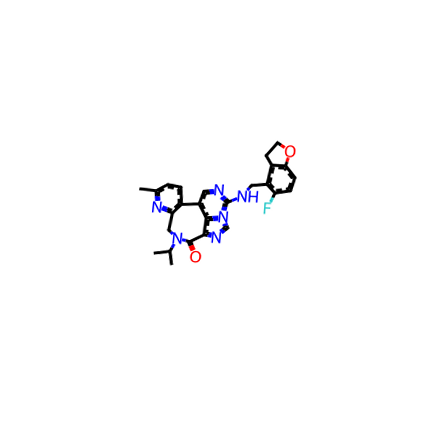 Cc1ccc2c(n1)CN(C(C)C)C(=O)c1ncn3c(NCc4c(F)ccc5c4CCO5)ncc-2c13